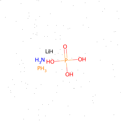 N.O=P(O)(O)O.P.[LiH]